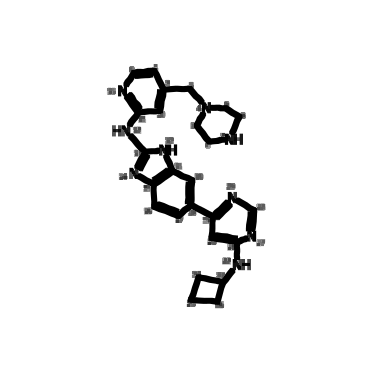 c1cc(CN2CCNCC2)cc(Nc2nc3ccc(-c4cc(NC5CCC5)ncn4)cc3[nH]2)n1